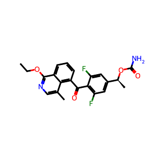 CCOc1ncc(C)c2c(C(=O)c3c(F)cc([C@H](C)OC(N)=O)cc3F)cccc12